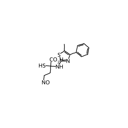 Cc1sc(NC(S)(CCN=O)C(=O)O)nc1-c1ccccc1